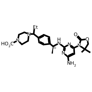 CCC(c1ccc([C@H](C)Nc2nc(N)cc(N3C(=O)OCC3(C)C)n2)cc1)N1CCN(C(=O)O)CC1